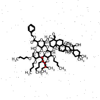 CCCCOCC1O[C@@H](OC2[C@H](O[C@H]3CCC4(C)C(CC[C@]5(C)C4CC=C(C)[C@@]5(C)C[C@@H](O)C4(C(=O)O)CCC(C)(C)CC4)[C@@]3(C)C=O)OC(C(=O)OCc3ccccc3)[C@@H](O)[C@@H]2O[C@@H]2OC[C@@H](OCCCC)[C@H](OCCCC)C2OCCCC)[C@@H](O)C(OCCCC)[C@H]1OCCCC